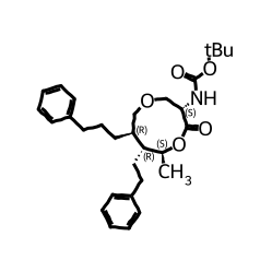 C[C@@H]1OC(=O)[C@@H](NC(=O)OC(C)(C)C)COC[C@H](CCCc2ccccc2)[C@H]1CCc1ccccc1